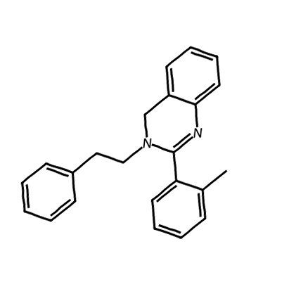 Cc1ccccc1C1=Nc2ccccc2CN1CCc1ccccc1